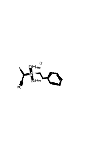 C#CC(I)[N+](CCCCCC)(CCCCCC)CCc1ccccc1.[Cl-]